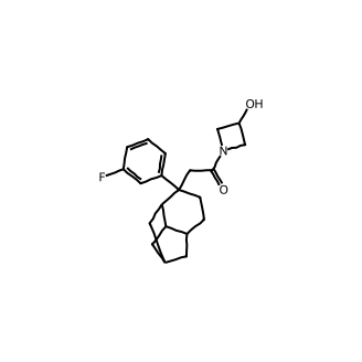 O=C(CC1(c2cccc(F)c2)CCC2CC3CC2C1C3)N1CC(O)C1